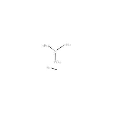 CBr.CCCCN(CCCC)CCCC